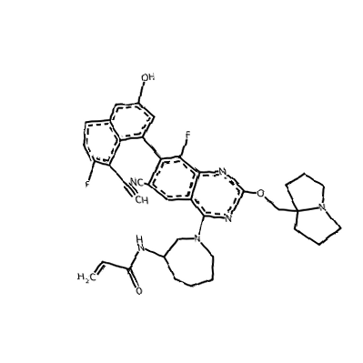 C#Cc1c(F)ccc2cc(O)cc(-c3c(C#N)cc4c(N5CCCCC(NC(=O)C=C)C5)nc(OCC56CCCN5CCC6)nc4c3F)c12